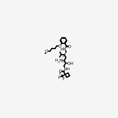 COCCCCOc1ccccc1C(=O)NC[C@@H](C[C@H](N)[C@@H](O)CNC(=O)C1(C(F)(F)F)CCC1)C(C)C